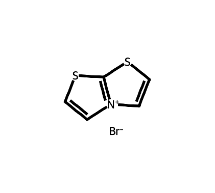 [Br-].c1c[n+]2ccsc2s1